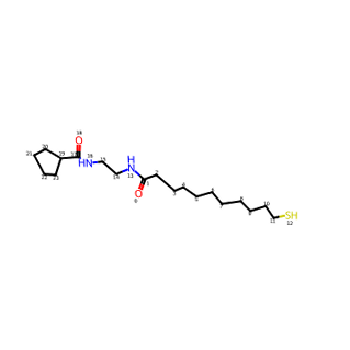 O=C(CCCCCCCCCCS)NCCNC(=O)C1CCCC1